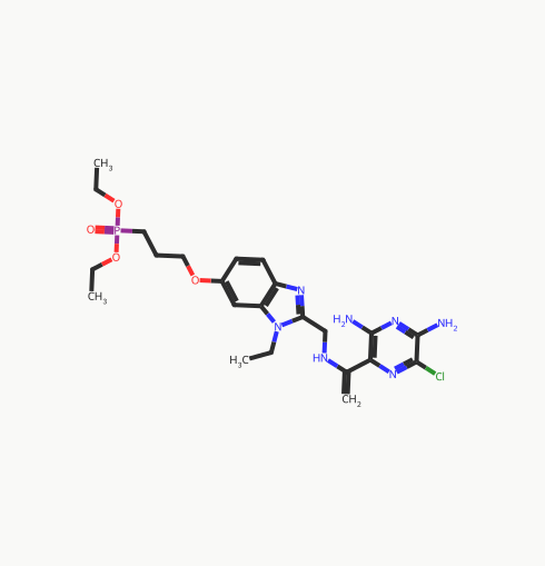 C=C(NCc1nc2ccc(OCCCP(=O)(OCC)OCC)cc2n1CC)c1nc(Cl)c(N)nc1N